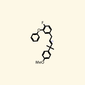 COc1ccc(C(C)(C)/C=C/Cc2ccc(F)c(Oc3ccccc3)c2)cc1